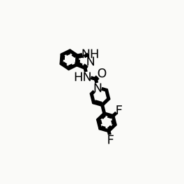 O=C(Nc1n[nH]c2ccccc12)N1CC=C(c2ccc(F)cc2F)CC1